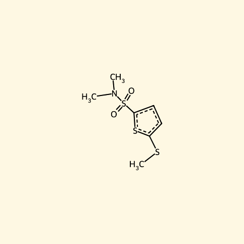 CSc1ccc(S(=O)(=O)N(C)C)s1